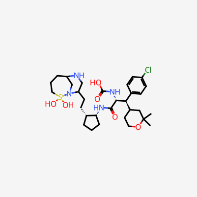 CC1(C)CC([C@H](c2ccc(Cl)cc2)[C@@H](NC(=O)O)C(=O)N[C@@H]2CCC[C@@H]2CCC2CNC3CCCS(O)(O)N2C3)CCO1